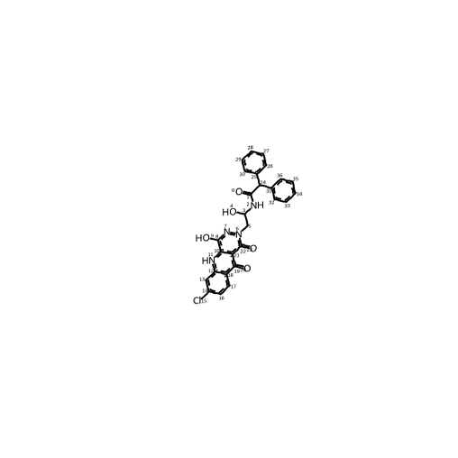 O=C(NC(O)Cn1nc(O)c2[nH]c3cc(Cl)ccc3c(=O)c2c1=O)C(c1ccccc1)c1ccccc1